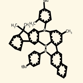 Cc1cc2c3c(c1)N(c1ccc(C(C)(C)C)cc1C)c1cc4c(cc1B3N(c1ccc(C(C)(C)C)cc1)c1cc3ccccc3cc1-2)-c1ccccc1C4(C)C